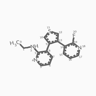 CCNc1ncccc1-c1cscc1-c1cccnc1F